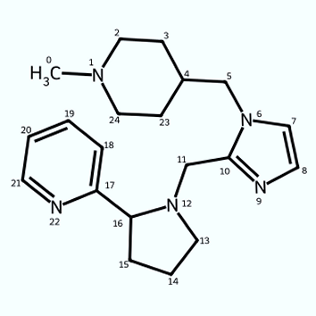 CN1CCC(Cn2ccnc2CN2CCCC2c2ccccn2)CC1